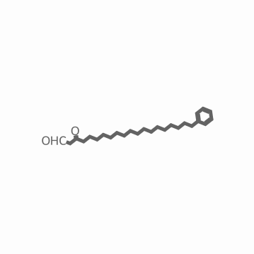 O=CCC(=O)CCCCCCCCCCCCCCCCCc1ccccc1